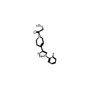 CC(C)(C)CC(=O)N1CC=C(c2cn(-c3ccccc3F)nn2)CC1